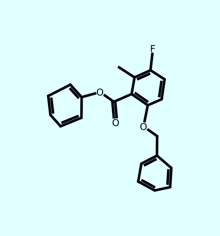 Cc1c(F)ccc(OCc2ccccc2)c1C(=O)Oc1ccccc1